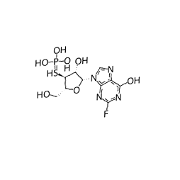 OC[C@H]1O[C@@H](n2cnc3c(O)nc(F)nc32)[C@@H](O)[C@@H]1[SH]=P(O)(O)O